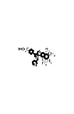 CC1(C)CCC(C)(C)c2cc3c(cc21)SCc1c(-c2ccc(C(=O)O)cc2)cn(Cc2cccnc2)c1-3